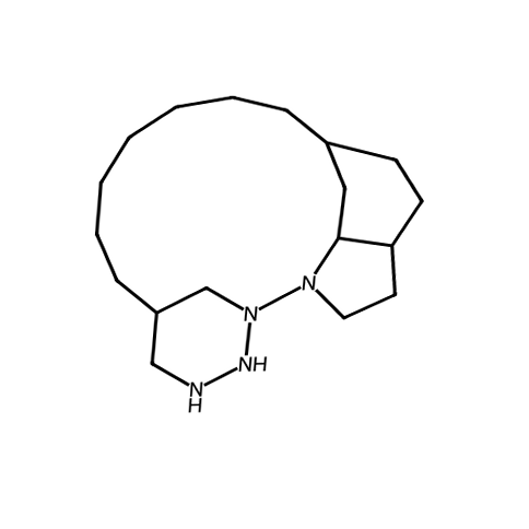 C1CCCC2CCC3CCN(C3C2)N2CC(CCC1)CNN2